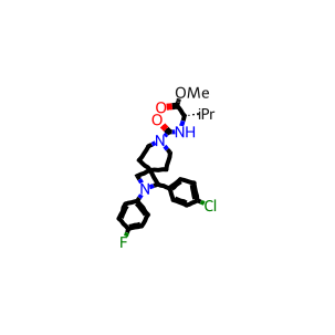 COC(=O)[C@@H](NC(=O)N1CCC2(CC1)CN(c1ccc(F)cc1)C2c1ccc(Cl)cc1)C(C)C